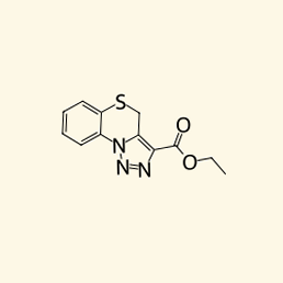 CCOC(=O)c1nnn2c1CSc1ccccc1-2